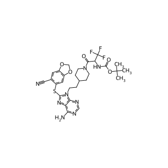 CC(C)(C)OC(=O)NC(C(=O)N1CCC(CCn2c(Sc3cc4c(cc3C#N)OCO4)nc3c(N)ncnc32)CC1)C(F)(F)F